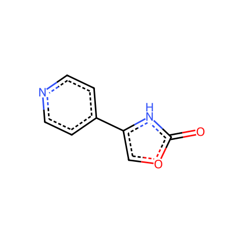 O=c1[nH]c(-c2ccncc2)co1